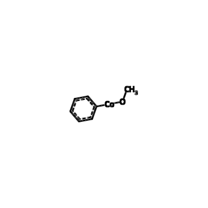 C[O][Co][c]1ccccc1